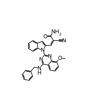 COc1cccc2c(NCc3ccccc3)nc(-n3c(C=C(C#N)C(N)=O)cc4ccccc43)nc12